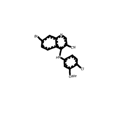 COc1cc(Nc2c(C#N)cnc3cc(Br)ccc23)ccc1Cl